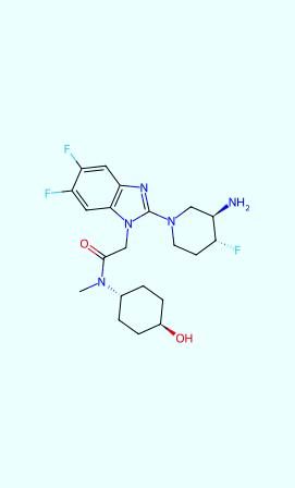 CN(C(=O)Cn1c(N2CC[C@@H](F)[C@H](N)C2)nc2cc(F)c(F)cc21)[C@H]1CC[C@H](O)CC1